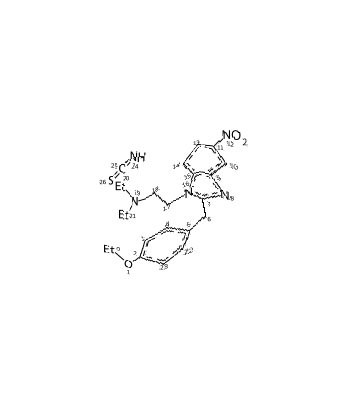 CCOc1ccc(Cc2nc3cc([N+](=O)[O-])ccc3n2CCN(CC)CC)cc1.N=C=S